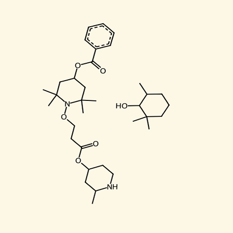 CC1CC(OC(=O)CCON2C(C)(C)CC(OC(=O)c3ccccc3)CC2(C)C)CCN1.CC1CCCC(C)(C)C1O